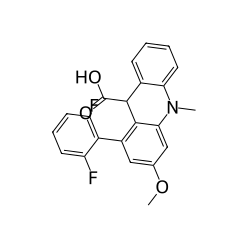 COc1cc(-c2c(F)cccc2F)c2c(c1)N(C)c1ccccc1C2C(=O)O